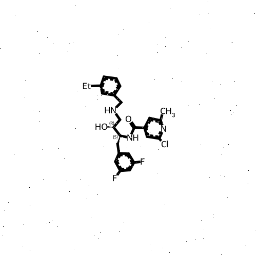 CCc1cccc(CNC[C@@H](O)[C@H](Cc2cc(F)cc(F)c2)NC(=O)c2cc(C)nc(Cl)c2)c1